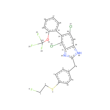 FCCSc1ccc(Cc2nc3c(Cl)c(-c4ccccc4OC(F)(F)F)c(Cl)cc3[nH]2)cc1